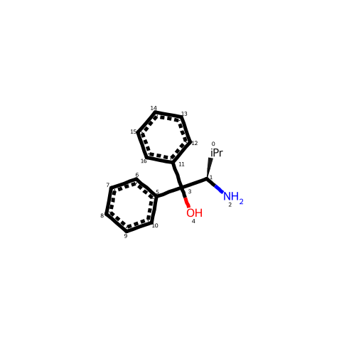 CC(C)[C@@H](N)C(O)(c1ccccc1)c1ccccc1